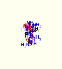 CCCC(=O)NC(CCN)C(=O)NCC(=O)NC(CCN)C(=O)N[C@H](Cc1ccccc1)C(=O)NC(CC(C)C)C(=O)NC(CCN)C(=O)NC(CCN)C(=O)NC(C(=O)NCC)C(C)O